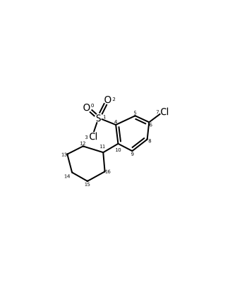 O=S(=O)(Cl)c1cc(Cl)ccc1C1CCCCC1